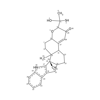 CC(O)(S)C1OC2CCC3(C)C(CCC4Cc5c([nH]c6ccccc56)[C@@]43C)C2=CC1=O